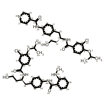 CC(C)Oc1ccc(C(=O)N[C@H](CCO)Cc2ccc(NC(=O)c3ccncc3)cc2)cc1Cl.CNc1ccccc1C(=O)Nc1ccc(C[C@@H](CCO)NC(=O)c2ccc(OC(C)C)c(Cl)c2)cc1